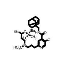 CC(C)(C)C(CCN(CCCc1cc(C(=O)NCC23CC4CC(CC(C4)C2)C3)c(Cl)cn1)C(=O)O)O[Si](C)(C)C(C)(C)C